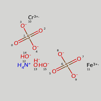 O=S(=O)([O-])[O-].O=S(=O)([O-])[O-].[Cr+3].[Fe+3].[NH4+].[OH-].[OH-].[OH-]